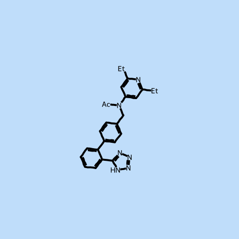 CCc1cc(N(Cc2ccc(-c3ccccc3-c3nnn[nH]3)cc2)C(C)=O)cc(CC)n1